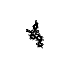 O=S(=O)(c1ccc(Cl)cc1)N(Cc1ccc(-c2ncco2)cc1)[C@@H]1CCCC[C@H]1CO